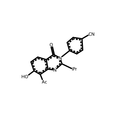 CC(=O)c1c(O)ccc2c(=O)n(-c3ccc(C#N)cc3)c(C(C)C)nc12